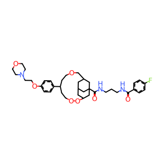 O=C(NCCCNC(=O)C12CC3COCCC(c4ccc(OCCN5CCOCC5)cc4)CCOOC(CC(C3)C1)C2)c1ccc(F)cc1